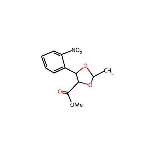 COC(=O)C1OC(C)OC1c1ccccc1[N+](=O)[O-]